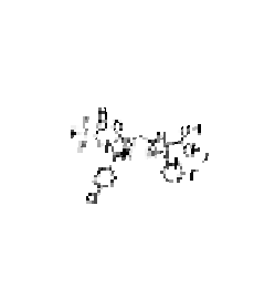 C[C@H](O)c1nc(Cn2nc(-c3ccc(Cl)cc3)n(C[C@H](O)C(F)(F)F)c2=O)nn1-c1cccc(F)n1